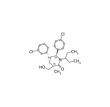 CCC(CC)N1C(=O)[C@@](C)(CO)C[C@H](c2cccc(Cl)c2)[C@H]1c1ccc(Cl)cc1